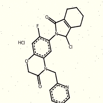 Cl.O=C1COc2cc(F)c(N3C(=O)C4=C(CCCC4)C3Cl)cc2N1Cc1ccccn1